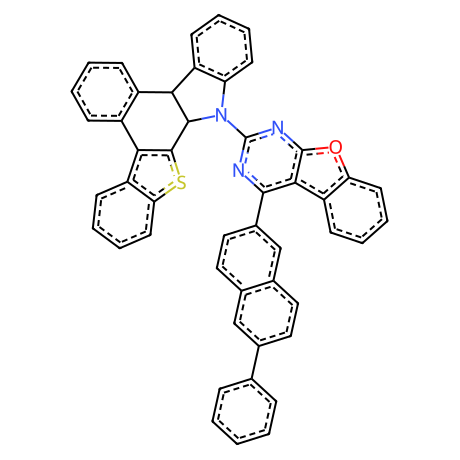 c1ccc(-c2ccc3cc(-c4nc(N5c6ccccc6C6c7ccccc7-c7c(sc8ccccc78)C65)nc5oc6ccccc6c45)ccc3c2)cc1